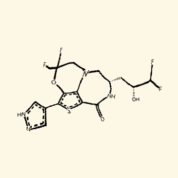 O=C1N[C@@H](C[C@@H](O)C(F)F)CN2CC(F)(F)Oc3c(-c4cn[nH]c4)sc1c32